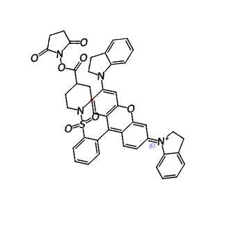 O=C(ON1C(=O)CCC1=O)C1CCN(S(=O)(=O)c2ccccc2-c2c3cc/c(=[N+]4/CCc5ccccc54)cc-3oc3cc(N4CCc5ccccc54)ccc23)CC1